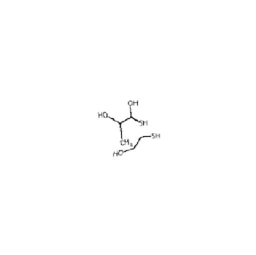 CC(O)C(O)S.OCCS